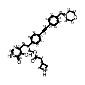 O=C(CC1CNC1)OC[C@@H](Cc1nc[nH]c(=O)c1O)c1ccc(C#Cc2ccc(CN3CCOCC3)cc2)cc1